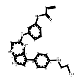 C=CC(=O)Nc1cccc(Oc2cnc3[nH]cc(-c4ccc(NCCO)cc4)c3n2)c1